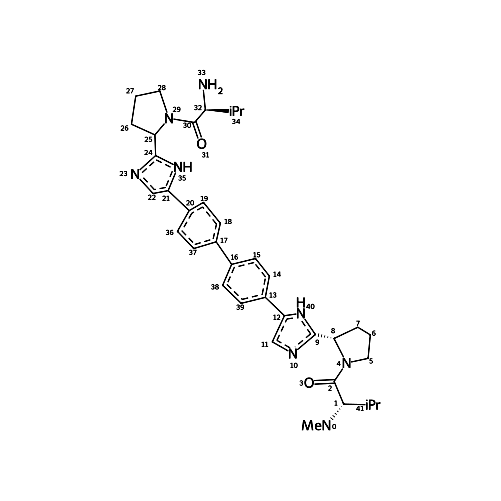 CN[C@H](C(=O)N1CCC[C@H]1c1ncc(-c2ccc(-c3ccc(-c4cnc(C5CCCN5C(=O)[C@@H](N)C(C)C)[nH]4)cc3)cc2)[nH]1)C(C)C